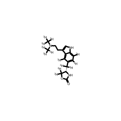 [2H]c1c(C([2H])([2H])[C@@H]2NC(=O)OC2([2H])[2H])c([2H])c2c(CCN(C([2H])([2H])[2H])C([2H])([2H])[2H])c[nH]c2c1[2H]